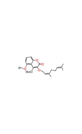 COc1c(OCC=C(C)CCC=C(C)C)c(=O)oc2cccc(OC(C)C)c12